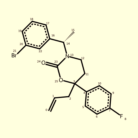 C=CCC1(c2ccc(F)cc2)CCN([C@@H](C)c2cccc(Br)c2)C(=O)O1